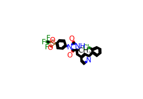 CC1(Cc2ccnc(-c3ccccc3Cl)c2)NC(=O)N(c2ccc(S(=O)(=O)C(F)(F)F)cc2)C1=O